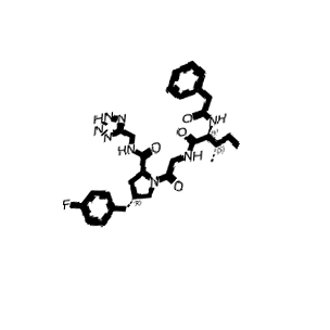 CC[C@H](C)[C@H](NC(=O)Cc1ccccc1)C(=O)NCC(=O)N1C[C@H](Cc2ccc(F)cc2)CC1C(=O)NCc1nn[nH]n1